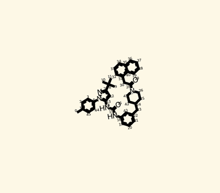 Cc1ccc(-n2nc(C(C)(C)C)cc2NC(=O)Nc2cccc(CC3CCN(C(=O)Cc4cccc5ccccc45)CC3)c2)cc1